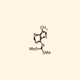 CSC(=Nc1ncnc2c(C)csc12)SC